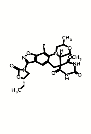 CC[C@H]1CN(c2noc3c(F)c4c(cc23)CC2(C(=O)NC(=O)NC2=O)[C@H]2[C@H](C)O[C@H](C)CN42)C(=O)O1